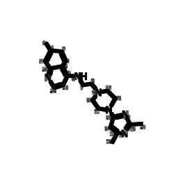 Cc1ccc2c(NCCN3CCN(c4cc(C)nc(C)n4)CC3)ccnc2c1